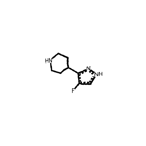 Fc1c[nH]nc1C1CCNCC1